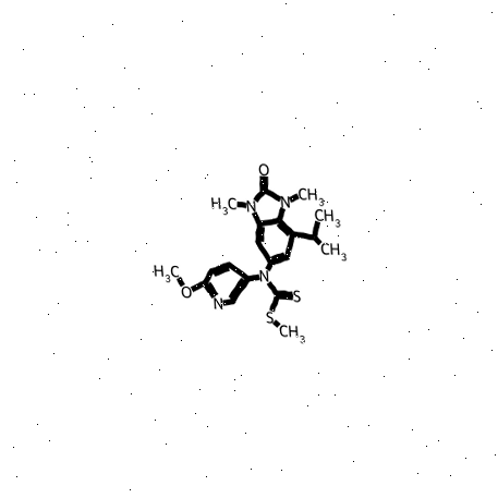 COc1ccc(N(C(=S)SC)c2cc(C(C)C)c3c(c2)n(C)c(=O)n3C)cn1